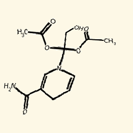 CC(=O)OC(CO)(OC(C)=O)N1C=CCC(C(N)=O)=C1